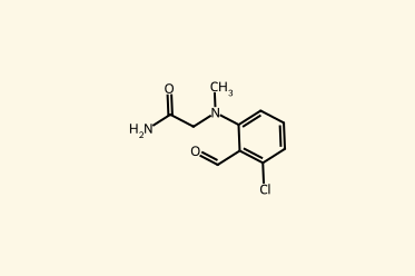 CN(CC(N)=O)c1cccc(Cl)c1C=O